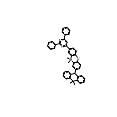 CC1(C)c2ccccc2C(c2ccc3c(c2)[Si](C)(C)c2cc(-c4cc(-c5ccccc5)nc(-c5ccccc5)n4)ccc2O3)c2ccccc21